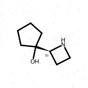 OC1([C@@H]2CCN2)CCCC1